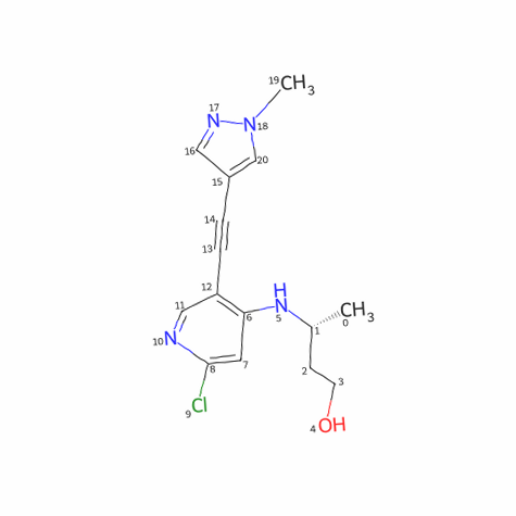 C[C@H](CCO)Nc1cc(Cl)ncc1C#Cc1cnn(C)c1